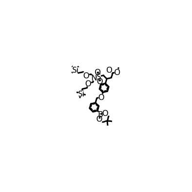 COC(=O)CC(CS(=O)(=O)N(COCC[Si](C)(C)C)COCC[Si](C)(C)C)c1ccc(OCc2cccc(B3OCC(C)(C)CO3)c2)cc1